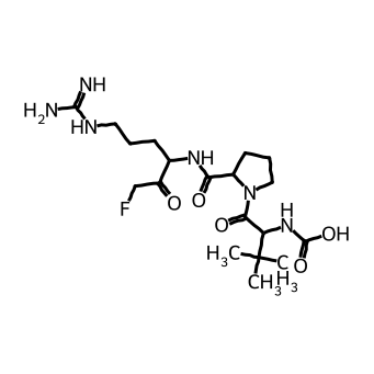 CC(C)(C)C(NC(=O)O)C(=O)N1CCCC1C(=O)NC(CCCNC(=N)N)C(=O)CF